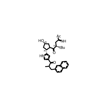 CC(=O)C(=N)C[C@H](C(=O)C1C[C@H](O)C[C@H]1c1cc(C(=O)C(C)Cc2ccc3ccccc3c2)c[nH]1)C(C)(C)C